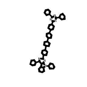 c1ccc(-c2nc(-c3ccccc3)nc(-c3ccc(-c4ccc(-c5ccc(-c6ccc(-c7nc(-c8ccccc8)c8c9ccccc9n(-c9ccccc9)c8n7)cc6)cc5)cc4)cc3)n2)cc1